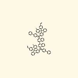 C=Cc1ccc(C2(c3cc(C)ccc3C)c3ccccc3-c3ccc(N(c4ccc(-c5ccccc5)cc4)c4ccc(-c5ccc(N(c6ccc(-c7ccccc7)cc6)c6ccc7c(c6)C(c6ccc(C=C)cc6)(c6cc(C)ccc6C)c6ccccc6-7)c6ccccc56)c5ccccc45)cc32)cc1